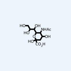 CC(=O)NC1C(O)CC(O)(C(=O)O)OC1C(O)C(O)CO